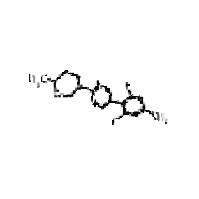 Cc1cc(F)c(-c2cnc(C3CCC(C)OC3)nc2)c(F)c1